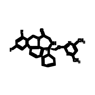 Cc1cc(C)nc(OC[C@@]2(C3C=CC=CC3)NCC(=O)N(Cc3c(F)cc(F)cc3F)c3ccccc32)n1